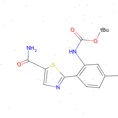 Cc1ccc(-c2ncc(C(N)=O)s2)c(NC(=O)OC(C)(C)C)c1